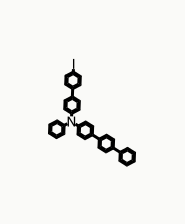 Ic1ccc(-c2ccc(N(c3ccccc3)c3ccc(-c4ccc(-c5ccccc5)cc4)cc3)cc2)cc1